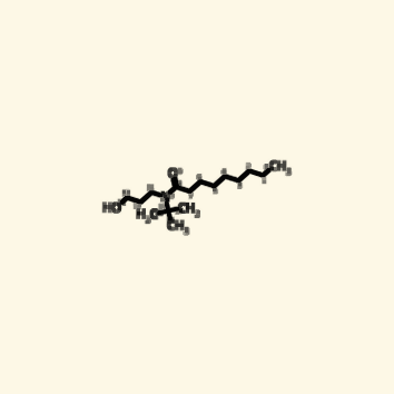 CCCCCCCCC(=O)N(CCCO)C(C)(C)C